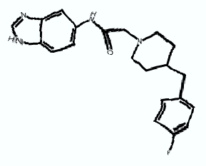 O=C(CN1CCC(Cc2ccc(F)cc2)CC1)Nc1ccc2[nH]cnc2c1